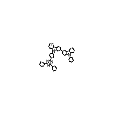 c1ccc(-c2nc(-c3ccccc3)nc(-c3ccc(-n4c5cc(-c6ccc7c(c6)c6ccccc6n7-c6ccccc6)ccc5c5ncccc54)cc3)n2)cc1